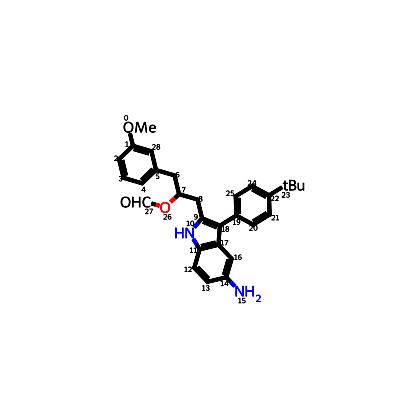 COc1cccc(CC(Cc2[nH]c3ccc(N)cc3c2-c2ccc(C(C)(C)C)cc2)OC=O)c1